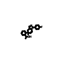 CC(O)c1ccccc1C1(C)C=Cc2c(cnn2-c2ccc(F)cc2)C1